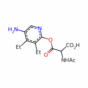 CCc1c(N)cnc(OC(=O)C(NC(C)=O)C(=O)O)c1CC